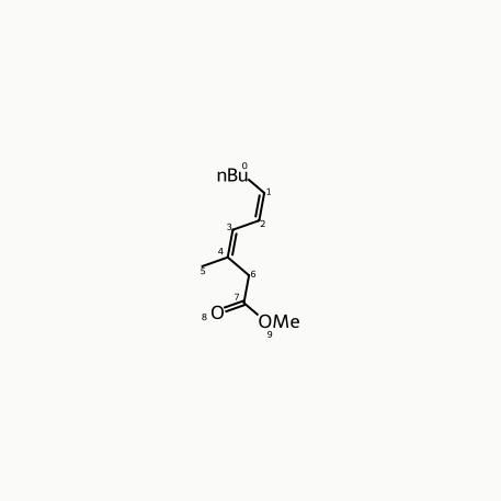 CCCC/C=C\C=C(\C)CC(=O)OC